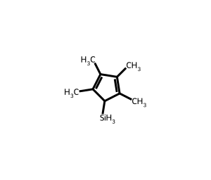 CC1=C(C)C([SiH3])C(C)=C1C